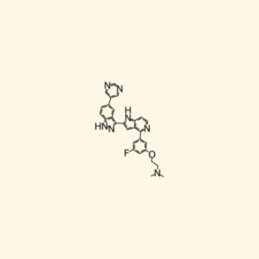 CN(C)CCOc1cc(F)cc(-c2nccc3[nH]c(-c4n[nH]c5ccc(-c6cncnc6)cc45)cc23)c1